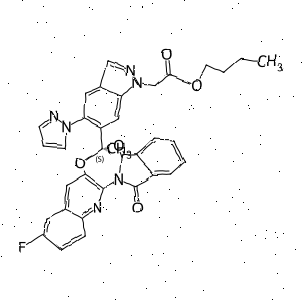 CCCCOC(=O)Cn1ncc2cc(-n3cccn3)c([C@H](C)Oc3cc4cc(F)ccc4nc3N3C(=O)c4ccccc4C3=O)cc21